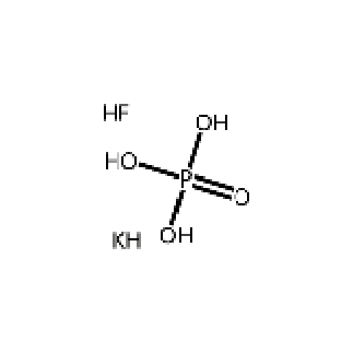 F.O=P(O)(O)O.[KH]